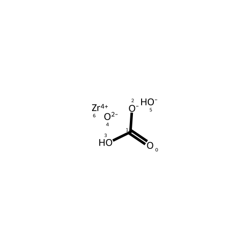 O=C([O-])O.[O-2].[OH-].[Zr+4]